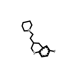 Fc1ccc2c(c1)CC(CCN1CCCCC1)CS2